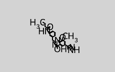 CCCC(=O)Nc1cccc(Cc2nc(O)c3cc(-c4cn[nH]c4)cc(OC)c3n2)c1